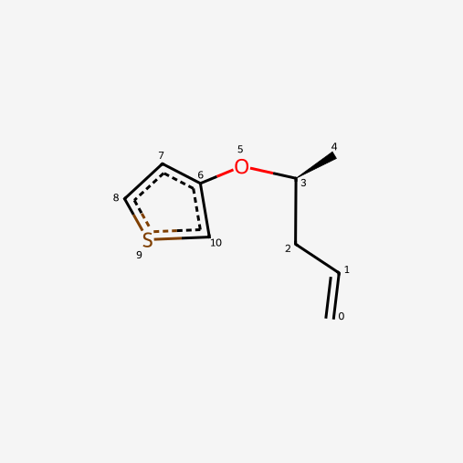 C=CC[C@H](C)Oc1ccsc1